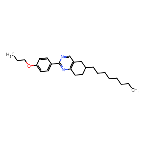 CCCCCCCCC1CCc2nc(-c3ccc(OCCC)cc3)ncc2C1